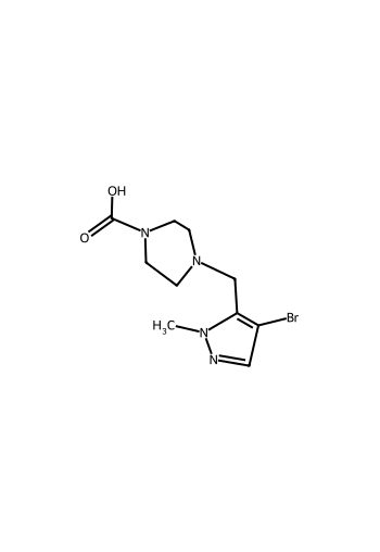 Cn1ncc(Br)c1CN1CCN(C(=O)O)CC1